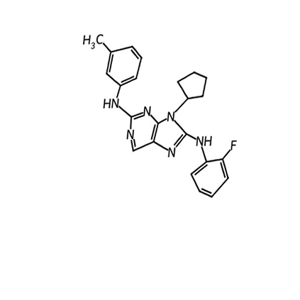 Cc1cccc(Nc2ncc3nc(Nc4ccccc4F)n(C4CCCC4)c3n2)c1